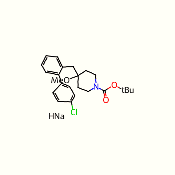 COC1(Cc2ccccc2-c2ccc(Cl)cc2)CCN(C(=O)OC(C)(C)C)CC1.[NaH]